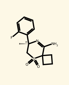 C[C@@]1(c2ccccc2F)CS(=O)(=O)C2(CCC2)C(N)=N1